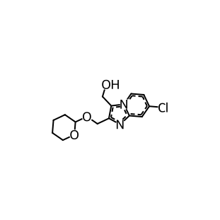 OCc1c(COC2CCCCO2)nc2cc(Cl)ccn12